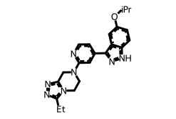 CCc1nnc2n1CCN(c1cc(-c3n[nH]c4ccc(OC(C)C)cc34)ccn1)C2